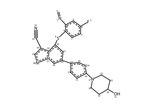 C=Nc1cc(F)ccc1Sc1cc(-c2ccc(N3CCC(O)CC3)nc2)cn2ncc(C#N)c12